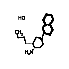 CCCC[C@@H]1CN(c2ccc3ccccc3c2)CC[C@@H]1N.Cl